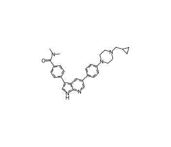 CN(C)C(=O)c1ccc(-c2c[nH]c3ncc(-c4ccc(N5CCN(CC6CC6)CC5)cc4)cc23)cc1